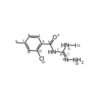 Cc1ccc(C(=O)N/C(=N/N)NI)c(Cl)c1